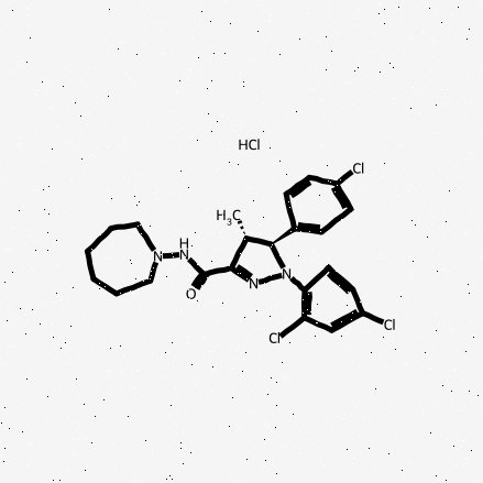 C[C@H]1C(C(=O)NN2CCCCCC2)=NN(c2ccc(Cl)cc2Cl)[C@@H]1c1ccc(Cl)cc1.Cl